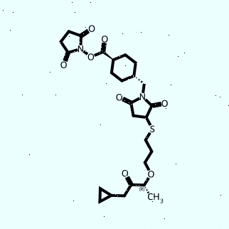 C[C@@H](OCCCSC1CC(=O)N(C[C@H]2CC[C@H](C(=O)ON3C(=O)CCC3=O)CC2)C1=O)C(=O)CC1CC1